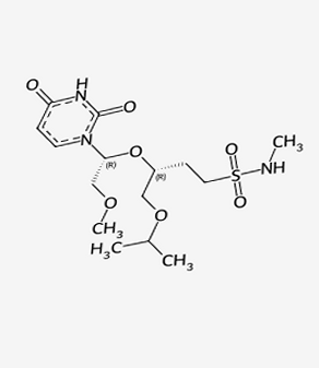 CNS(=O)(=O)CC[C@H](COC(C)C)O[C@H](COC)n1ccc(=O)[nH]c1=O